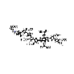 CCCCCCCCOOC/C(C#N)=C/c1cc(CCCCCCCC)c(-c2cc(CCCCCCCC)c(-c3ccc(-c4sc(-c5sc(-c6cc7c(OCC(CC)CCCC)c8sc(-c9cc(CCCCCCCC)c(-c%10cc(CCCCCCCC)c(C)s%10)s9)cc8c(OCC(CC)CCCC)c7s6)cc5CCCCCCCC)cc4CCCCCCCC)s3)s2)s1